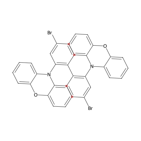 Brc1ccc(-c2ccc(Br)cc2N2c3ccccc3Oc3ccccc32)c(N2c3ccccc3Oc3ccccc32)c1